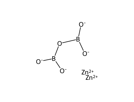 [O-]B([O-])OB([O-])[O-].[Zn+2].[Zn+2]